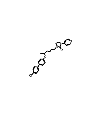 CC(CCCCN1CCN(c2ccncc2)C1=O)Oc1ccc(-c2ccc(Cl)cc2)cc1